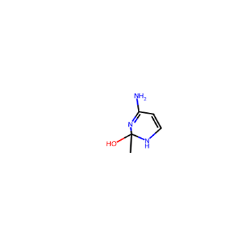 CC1(O)N=C(N)C=CN1